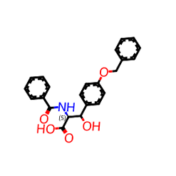 O=C(N[C@H](C(=O)O)C(O)c1ccc(OCc2ccccc2)cc1)c1ccccc1